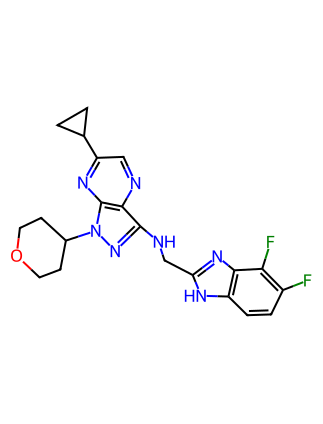 Fc1ccc2[nH]c(CNc3nn(C4CCOCC4)c4nc(C5CC5)cnc34)nc2c1F